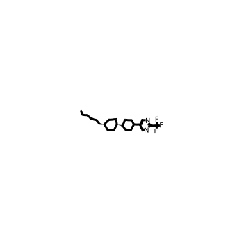 CCCCCC[C@H]1CC[C@H](C2CCC(c3cnc(C(F)(F)F)nc3)CC2)CC1